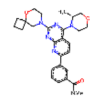 CNC(=O)c1cccc(-c2ccc3c(N4CCOC[C@@H]4C)nc(N4CCOC5(CCC5)C4)nc3n2)c1